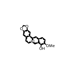 COc1ccc2cc3c4cc5c(cc4cc[n+]3cc2c1O)OCO5